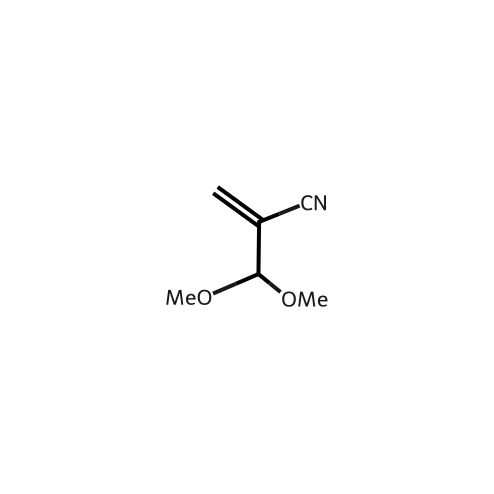 C=C(C#N)C(OC)OC